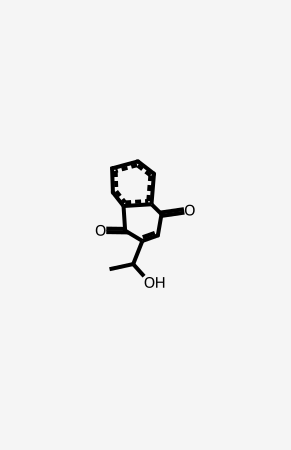 CC(O)C1=CC(=O)c2ccccc2C1=O